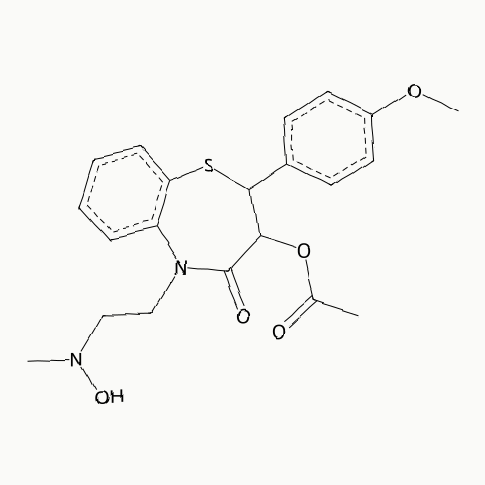 COc1ccc(C2Sc3ccccc3N(CCN(C)O)C(=O)C2OC(C)=O)cc1